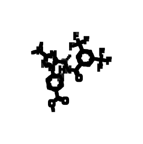 COC(=O)c1ccc(-n2nc(N(C)C)nc2[C@H](C)NC(=O)c2cc(C(F)(F)F)cc(C(F)(F)F)c2)nc1